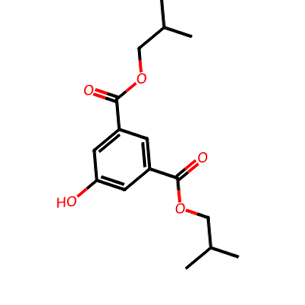 CC(C)COC(=O)c1cc(O)cc(C(=O)OCC(C)C)c1